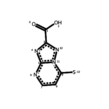 O=C(O)c1nc2nccc([S])n2n1